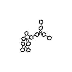 c1ccc(-c2ccc(N(c3ccc(-c4ccccc4)cc3)c3ccc(-c4ccc5c(c4)-c4ccccc4-c4ccccc4N5c4ccc5c(c4)C4(c6ccccc6-c6ccccc64)c4ccccc4-5)cc3)cc2)cc1